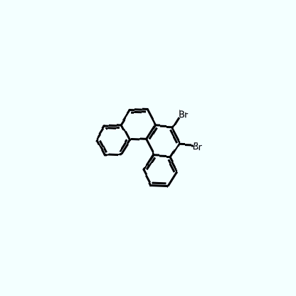 Brc1c(Br)c2ccc3ccccc3c2c2ccccc12